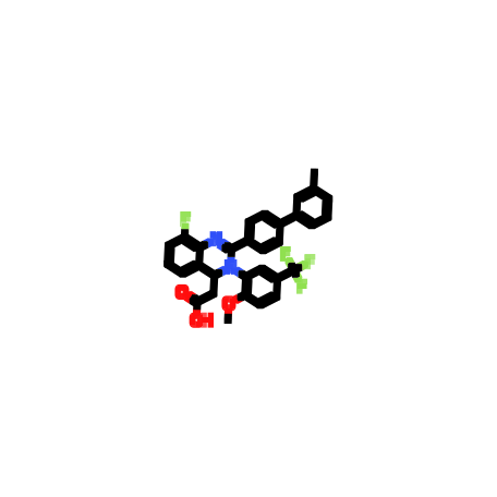 COc1ccc(C(F)(F)F)cc1N1C(c2ccc(-c3cccc(C)c3)cc2)=Nc2c(F)cccc2C1CC(=O)O